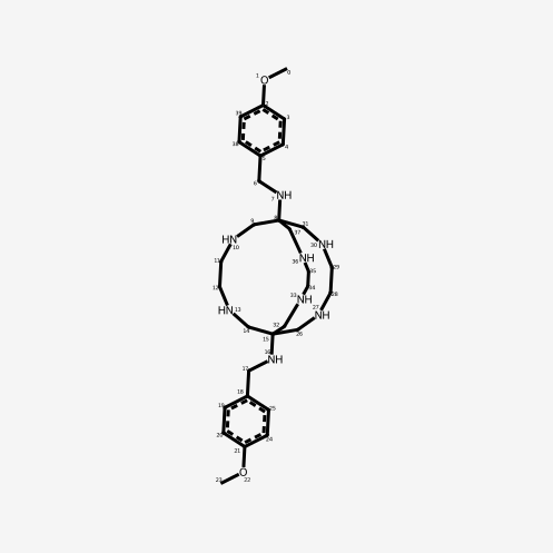 COc1ccc(CNC23CNCCNCC(NCc4ccc(OC)cc4)(CNCCNC2)CNCCNC3)cc1